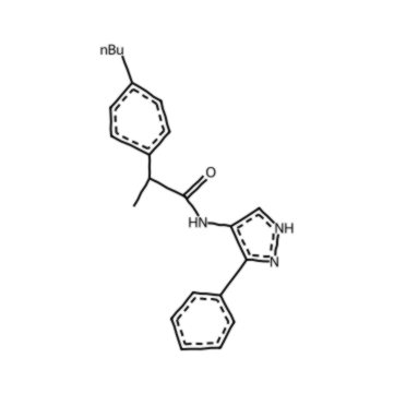 CCCCc1ccc(C(C)C(=O)Nc2c[nH]nc2-c2ccccc2)cc1